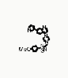 COc1ccc(-c2nc(CN3CCN(c4ccnc5cc(-c6cccnc6)ccc45)CC3)no2)cc1